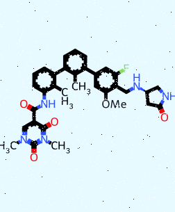 COc1cc(-c2cccc(-c3cccc(NC(=O)c4cn(C)c(=O)n(C)c4=O)c3C)c2C)cc(F)c1CN[C@H]1CNC(=O)C1